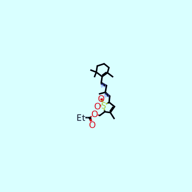 CCC(=O)OCC1C(C)=CC(/C=C(C)/C=C/C2=C(C)CCCC2(C)C)S1(=O)=O